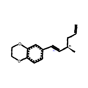 C=CC[C@@H](C)/C=C/c1ccc2c(c1)OCCO2